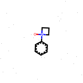 [O-][N+]1(c2ccccc2)CCC1